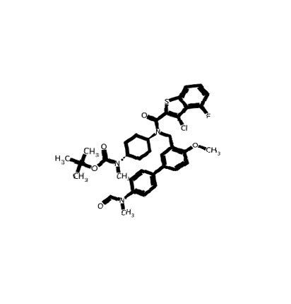 COc1ccc(-c2ccc(N(C)C=O)cc2)cc1CN(C(=O)c1sc2cccc(F)c2c1Cl)[C@H]1CC[C@H](N(C)C(=O)OC(C)(C)C)CC1